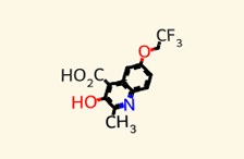 Cc1nc2ccc(OCC(F)(F)F)cc2c(C(=O)O)c1O